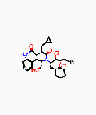 CC(C)C[C@H](O)[C@H](O)[C@H](CC1CCCCC1)N(C(=O)[C@@H](CC(N)=O)CC1CC1)[C@H](CO)Cc1ccccc1